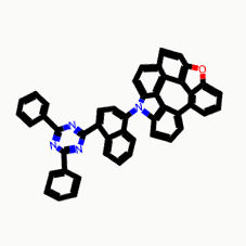 c1ccc(-c2nc(-c3ccccc3)nc(-c3ccc(-n4c5cccc6c5c5c7c(ccc8oc9cccc-6c9c87)ccc54)c4ccccc34)n2)cc1